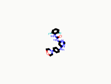 O=C(Nc1cc(Nc2ccc(N3CCOCC3)cc2)ncn1)Nc1c(F)cccc1F